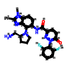 CC(C)c1nc2c(N3CCC[C@H]3CN)c(NC(=O)c3ccc(=O)n(-c4c(F)cccc4F)n3)ccc2n1C